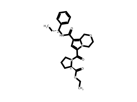 CCOC(=O)[C@H]1CCCN1C(=O)c1cc(C(=O)N[C@H](CC)c2ccccc2)c2n1CCOC2